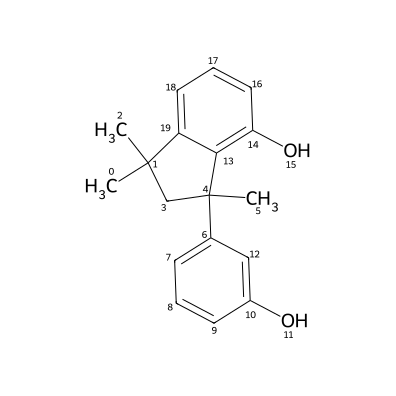 CC1(C)CC(C)(c2cccc(O)c2)c2c(O)cccc21